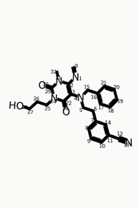 C=Nc1c(N(CCc2cccc(C#N)c2)Cc2ccccc2)c(=O)n(CCCO)c(=O)n1C